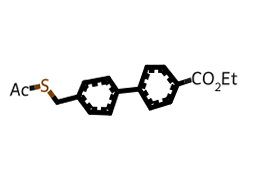 CCOC(=O)c1ccc(-c2ccc(CSC(C)=O)cc2)cc1